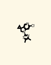 Cc1nc(N2CC3(CC3)c3cnc(Cl)cc32)sc1C